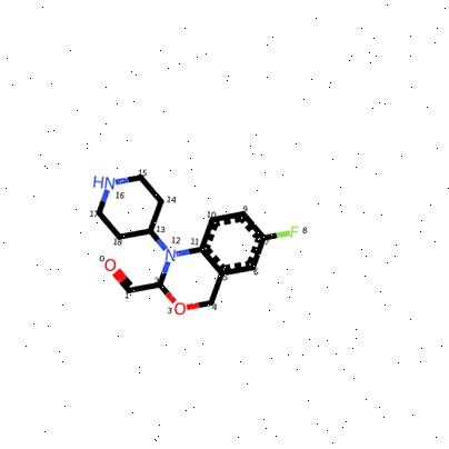 O=CC1OCc2cc(F)ccc2N1C1CCNCC1